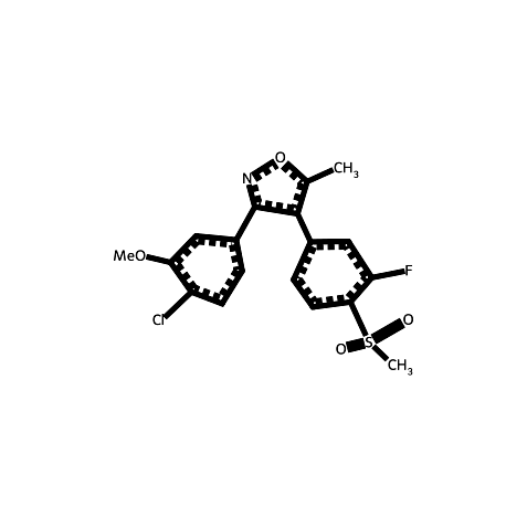 COc1cc(-c2noc(C)c2-c2ccc(S(C)(=O)=O)c(F)c2)ccc1Cl